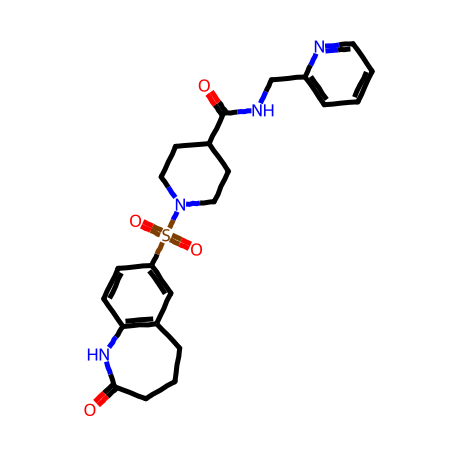 O=C1CCCc2cc(S(=O)(=O)N3CCC(C(=O)NCc4ccccn4)CC3)ccc2N1